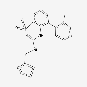 Cc1ccccc1-c1cccc2c1NC(NCc1ccco1)=NS2(=O)=O